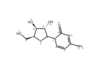 Nc1ccn(C2S[C@@H](CO)[C@@H](O)[C@@H]2O)c(=O)n1